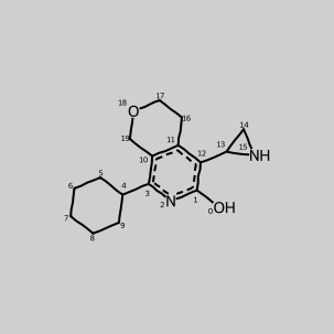 Oc1nc(C2CCCCC2)c2c(c1C1CN1)CCOC2